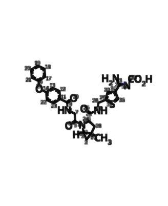 C[C@@]12C[C@@H]1N(C(=O)CNC(=O)c1ccc(Oc3ccccc3)cc1)[C@H](C(=O)NCc1cc(/C(N)=N/C(=O)O)cs1)C2